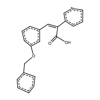 O=C(O)C(=Cc1cccc(OCc2ccccc2)c1)c1cccnc1